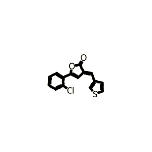 O=C1OC(c2ccccc2Cl)=C/C1=C\c1ccsc1